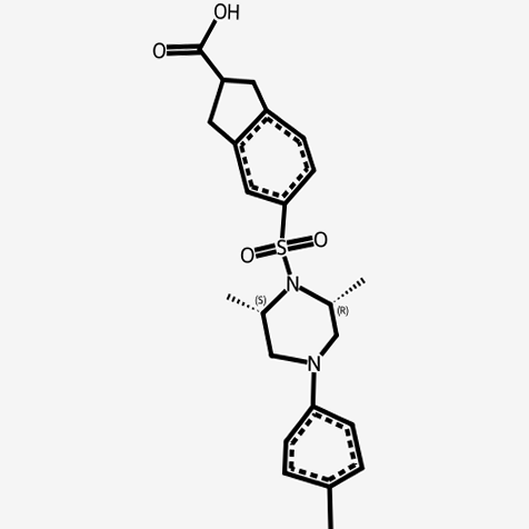 Cc1ccc(N2C[C@@H](C)N(S(=O)(=O)c3ccc4c(c3)CC(C(=O)O)C4)[C@@H](C)C2)cc1